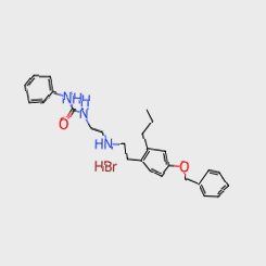 Br.CCCc1cc(OCc2ccccc2)ccc1CCNCCNC(=O)Nc1ccccc1